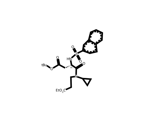 CCOC(=O)CCN(C(=O)[C@H](CC(=O)OC(C)(C)C)NS(=O)(=O)c1ccc2ccccc2c1)C1CC1